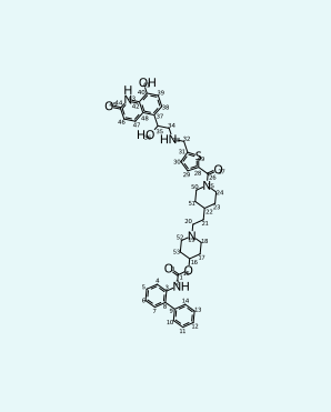 O=C(Nc1ccccc1-c1ccccc1)OC1CCN(CCC2CCN(C(=O)c3ccc(CNCC(O)c4ccc(O)c5[nH]c(=O)ccc45)s3)CC2)CC1